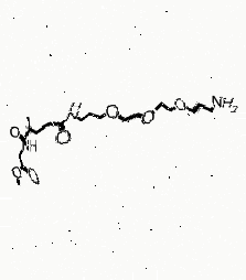 COC(=O)CNC(=O)[C@@H](C)CCC(=O)NCCCOCCOCCOCCCN